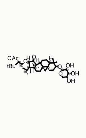 CC(=O)O[C@@H]([C@H]1C[C@@H](C)[C@H]2[C@H](O1)C(=O)[C@@]1(C)[C@@H]3CC[C@H]4C(C)(C)[C@@H](O[C@@H]5OCC(O)[C@H](O)[C@H]5O)CC[C@@]45C[C@@]35CC[C@]21C)C(C)(C)C